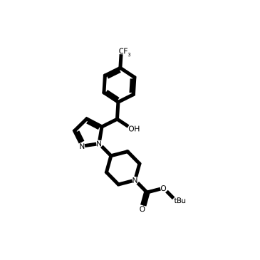 CC(C)(C)OC(=O)N1CCC(n2nccc2C(O)c2ccc(C(F)(F)F)cc2)CC1